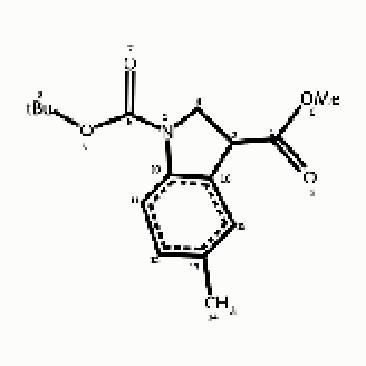 COC(=O)C1CN(C(=O)OC(C)(C)C)c2ccc(C)cc21